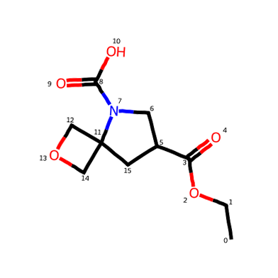 CCOC(=O)C1CN(C(=O)O)C2(COC2)C1